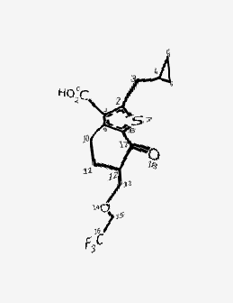 O=C(O)c1c(CC2CC2)sc2c1CCC(COCC(F)(F)F)C2=O